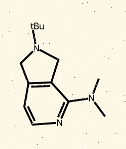 CN(C)c1nccc2c1CN(C(C)(C)C)C2